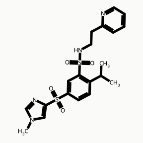 CC(C)c1ccc(S(=O)(=O)c2cn(C)cn2)cc1S(=O)(=O)NCCc1ccccn1